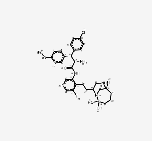 CC(C)Oc1ccc([C@H](c2ccc(Cl)cc2)[C@H](N)C(=O)Nc2cncc(F)c2CC[C@H]2CN[C@@H]3CCCS(O)(O)N2C3)cn1